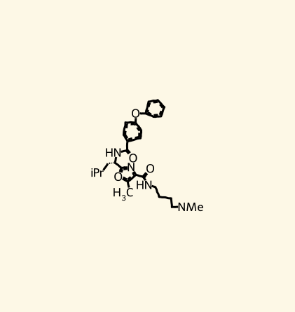 CNCCCCNC(=O)c1nc([C@H](CC(C)C)NC(=O)c2ccc(Oc3ccccc3)cc2)oc1C